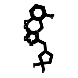 O=c1onc(CC2CCC(F)(F)C2)n1Cc1c(F)cccc1Cl